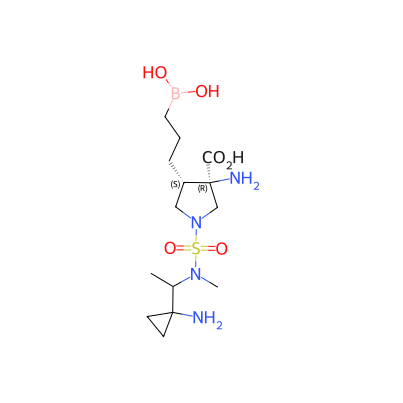 CC(N(C)S(=O)(=O)N1C[C@H](CCCB(O)O)[C@](N)(C(=O)O)C1)C1(N)CC1